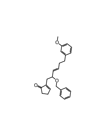 COc1cccc(CC/C=C/C(CC2=CCCC2=O)OCc2ccccc2)c1